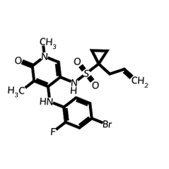 C=CCC1(S(=O)(=O)Nc2cn(C)c(=O)c(C)c2Nc2ccc(Br)cc2F)CC1